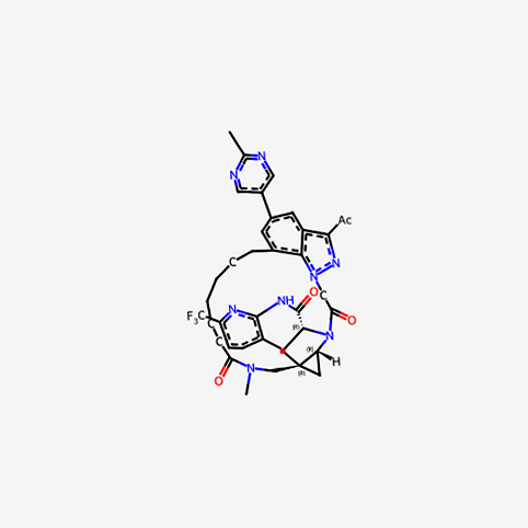 CC(=O)c1nn2c3c(cc(-c4cnc(C)nc4)cc13)CCCCCCC(=O)N(C)C[C@@]13C[C@H](C(=O)Nc4nc(C(F)(F)F)ccc4C)N(C(=O)C2)[C@@H]1C3